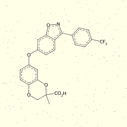 CC1(C(=O)O)COc2ccc(Oc3ccc4c(-c5ccc(C(F)(F)F)cc5)noc4c3)cc2O1